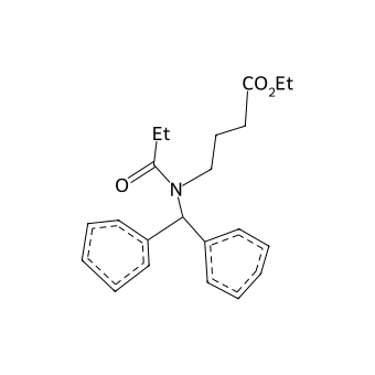 CCOC(=O)CCCN(C(=O)CC)C(c1ccccc1)c1ccccc1